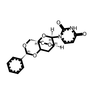 O=c1ccn([C@@H]2O[C@]34CO[C@@H](c5ccccc5)OC3C[C@H]2OC4)c(=O)[nH]1